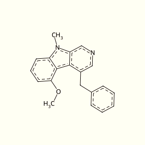 COc1cccc2c1c1c(Cc3ccccc3)cncc1n2C